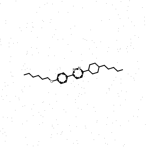 CCCCCCOc1ccc(-c2ccc(C3CCC(CCCCC)CC3)nn2)cc1